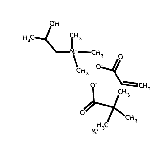 C=CC(=O)[O-].CC(C)(C)C(=O)[O-].CC(O)C[N+](C)(C)C.[K+]